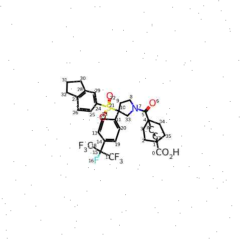 O=C(O)C12CCC(C(=O)N3CCC(c4ccc(C(F)(C(F)(F)F)C(F)(F)F)cc4)(S(=O)(=O)c4ccc5c(c4)CCC5)C3)(CC1)CC2